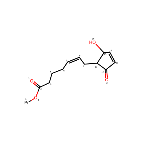 CC(C)OC(=O)CCC/C=C\CC1C(=O)C=CC1O